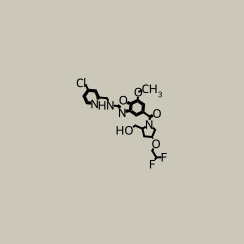 COc1cc(C(=O)N2C[C@H](OCC(F)F)CC2CO)cc2nc(NCc3cc(Cl)ccn3)oc12